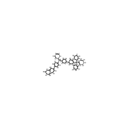 C1#CCC(N(c2ccc(-c3ccc(C4(c5ccccc5)C5=C(CCC=C5)c5ccccc54)cc3)cc2)c2ccc(-c3ccc4ccccc4c3)cc2)C=C1